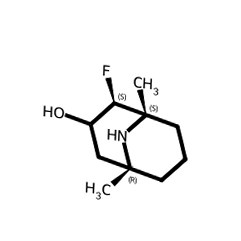 C[C@]12CCC[C@](C)(N1)[C@H](F)C(O)C2